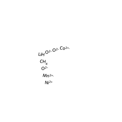 C.[Co+2].[LiH].[Mn+2].[Ni+2].[O-2].[O-2].[O-2]